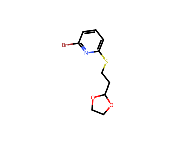 Brc1cccc(SCCC2OCCO2)n1